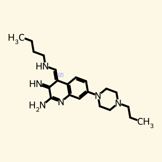 CCCCN/C=C1\C(=N)C(N)=Nc2cc(N3CCN(CCC)CC3)ccc21